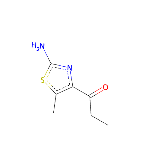 CCC(=O)c1nc(N)sc1C